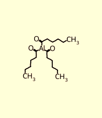 CCCCC[C](=O)[Al]([C](=O)CCCCC)[C](=O)CCCCC